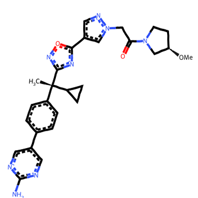 CO[C@@H]1CCN(C(=O)Cn2cc(-c3nc([C@@](C)(c4ccc(-c5cnc(N)nc5)cc4)C4CC4)no3)cn2)C1